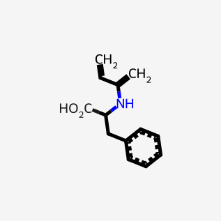 C=CC(=C)NC(Cc1ccccc1)C(=O)O